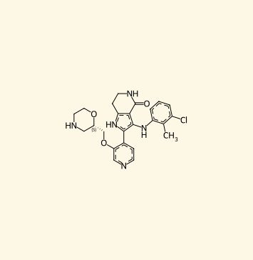 Cc1c(Cl)cccc1Nc1c(-c2ccncc2OC[C@@H]2CNCCO2)[nH]c2c1C(=O)NCC2